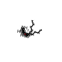 CC(C)CCC[C@@H](C)CCC[C@@H](C)CCC[C@@H](C)CCOC[C@@H](COP(=O)(O)OP(=O)(O)OC[C@H]1O[C@@H](n2ccc(N)nc2=O)[C@H](O)[C@@H]1O)OCC[C@H](C)CCC[C@H](C)CCC[C@H](C)CCCC(C)C